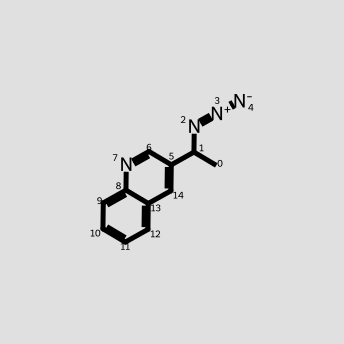 CC(N=[N+]=[N-])c1cnc2ccccc2c1